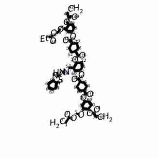 C=CC(=O)OCOc1cc(OC(=O)C2CCC(C(=O)Oc3ccc(OC(=O)C4CCC(C(=O)Oc5ccc(OC(=O)C=C)c(OCOC(=O)CC)c5)CC4)c(/C=N/Nc4nc5ccccc5s4)c3)CC2)ccc1OC(=O)C=C